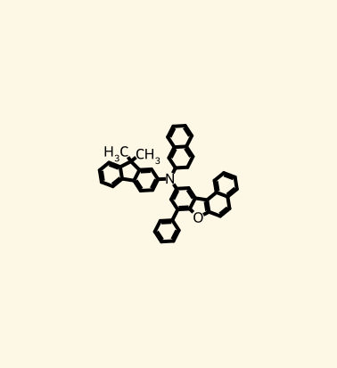 CC1(C)c2ccccc2-c2ccc(N(c3cc(-c4ccccc4)c4oc5ccc6ccccc6c5c4c3)C3C=c4ccccc4=CC3)cc21